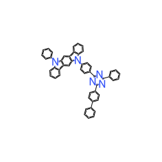 c1ccc(-c2ccc(-c3nc(-c4ccccc4)nc(-c4ccc(-n5c6ccccc6c6cc7c(cc65)c5ccccc5n7-c5ccccc5)cc4)n3)cc2)cc1